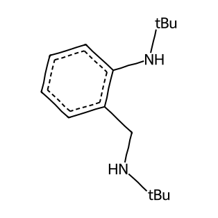 CC(C)(C)NCc1ccccc1NC(C)(C)C